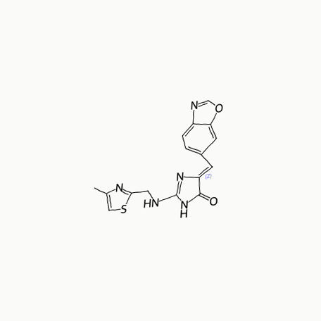 Cc1csc(CNC2=N/C(=C\c3ccc4ncoc4c3)C(=O)N2)n1